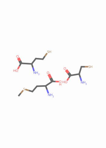 CSCCC(N)C(=O)O.NC(CCS)C(=O)O.NC(CS)C(=O)O